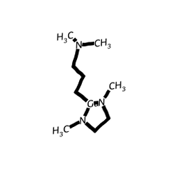 CN(C)CC[CH2][Ga]1[N](C)CC[N]1C